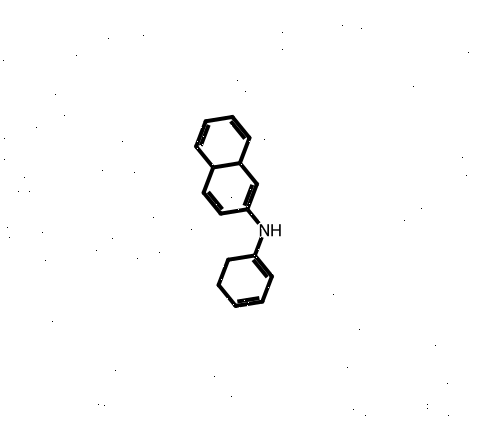 C1=CCCC(NC2=CC3C=CC=CC3C=C2)=C1